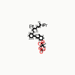 C=C1CC[C@H](OC(=O)C2(C)COC(=O)OC2)C/C1=C/C=C1\CCCC[C@H]1CC[C@@H](CC)[C@H](C)/C=C/[C@H](C)C(C)C